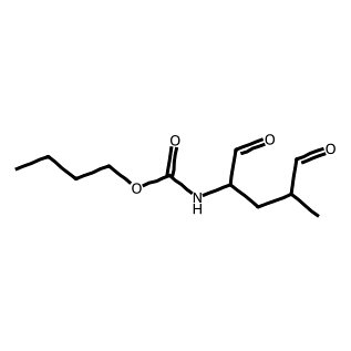 CCCCOC(=O)NC(C=O)CC(C)C=O